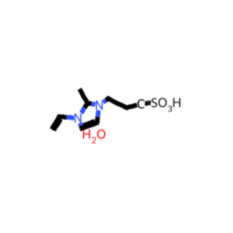 C=CN1C=CN(CCCS(=O)(=O)O)C1C.O